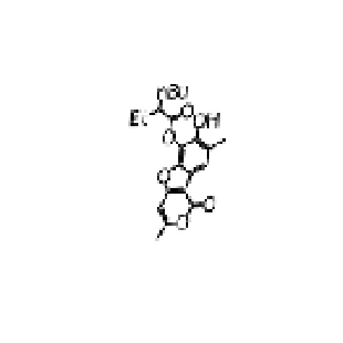 CCCCC(CC)C(=O)Oc1c(O)c(C)cc2c1oc1cc(C)oc(=O)c12